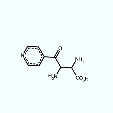 NC(C(=O)O)C(N)C(=O)c1ccncc1